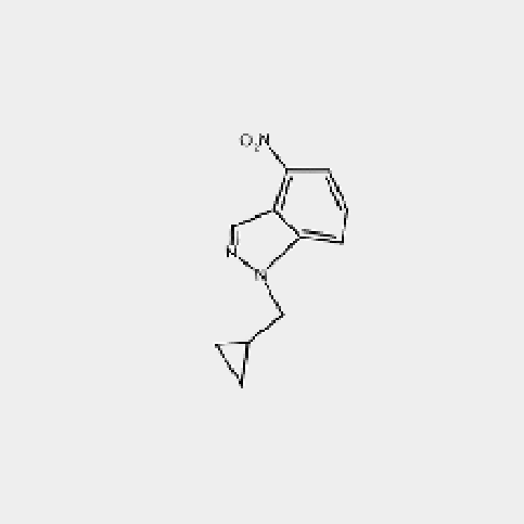 O=[N+]([O-])c1cccc2c1cnn2CC1CC1